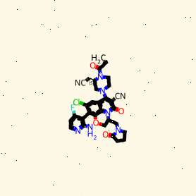 C=CC(=O)N1CCN(c2c(C#N)c(=O)n3c4c(c(-c5c(F)ccnc5N)c(Cl)cc24)OCC3CN2CCCC2=O)C[C@@H]1CC#N